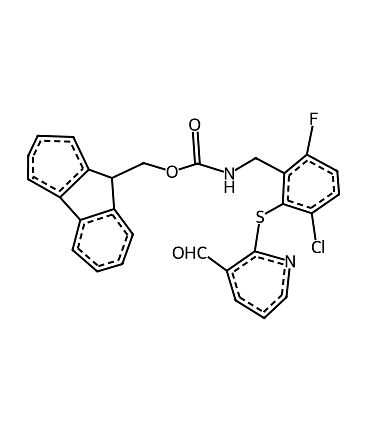 O=Cc1cccnc1Sc1c(Cl)ccc(F)c1CNC(=O)OCC1c2ccccc2-c2ccccc21